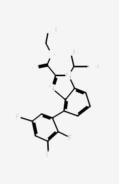 CCOC(=O)c1nc2c(-c3cc(F)cc(F)c3F)cccc2n1C(C)C